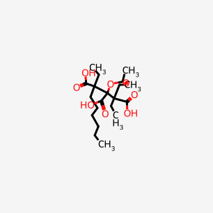 CCCCCCC(CC)(C(=O)O)C(OC(C)=O)(C(=O)O)C(CC)(CC)C(=O)O